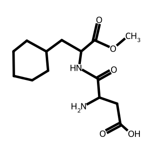 COC(=O)C(CC1CCCCC1)NC(=O)C(N)CC(=O)O